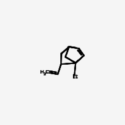 C=CC1CC2C=CC1(CC)C2